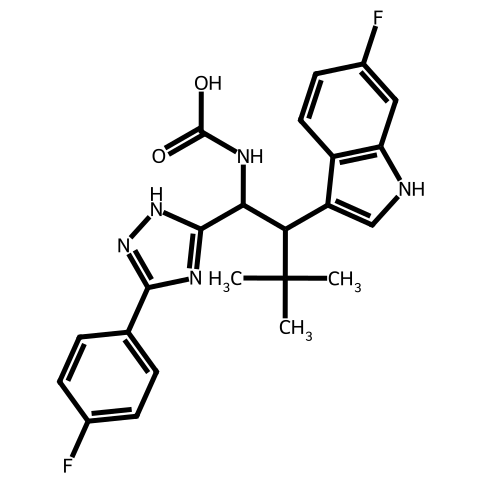 CC(C)(C)C(c1c[nH]c2cc(F)ccc12)C(NC(=O)O)c1nc(-c2ccc(F)cc2)n[nH]1